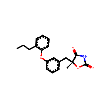 CCCc1ccccc1Oc1cccc(C[C@@]2(C)OC(=O)NC2=O)c1